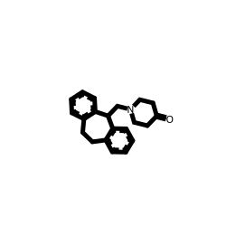 O=C1CCN(CC2c3ccccc3CCc3ccccc32)CC1